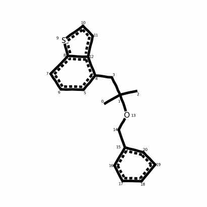 CC(C)(Cc1cccc2sccc12)O[CH]c1ccccc1